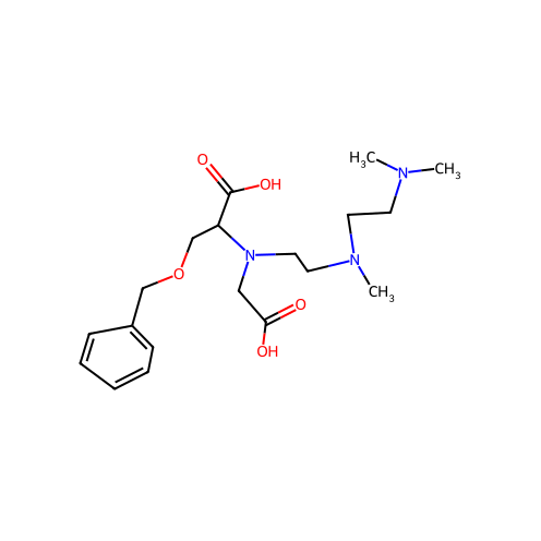 CN(C)CCN(C)CCN(CC(=O)O)C(COCc1ccccc1)C(=O)O